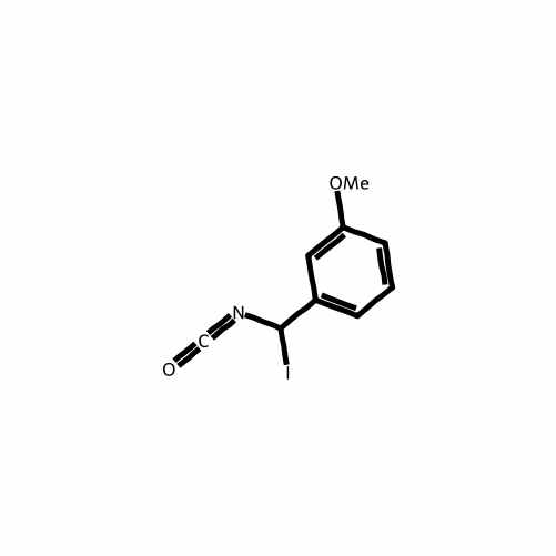 COc1cccc(C(I)N=C=O)c1